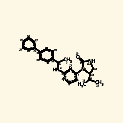 CC(Nc1nccc(N2C(=O)NCC2C(C)C)n1)c1ccc(-c2ccccc2)cc1